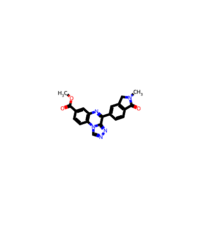 COC(=O)c1ccc2c(c1)nc(-c1ccc3c(c1)CN(C)C3=O)c1nncn12